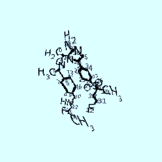 C=C(O/N=C(\C)C1C=CC(CNCC(C)F)=CC1)c1nc(-c2ccc(S(=O)(=O)C(C)CCF)cc2)cnc1N